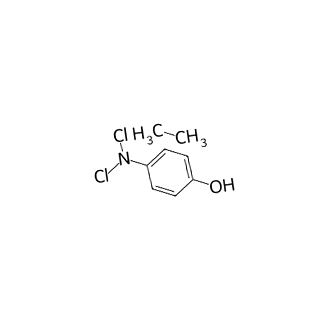 CC.Oc1ccc(N(Cl)Cl)cc1